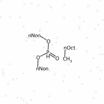 CCCCCCCCC.CCCCCCCCCO[PH](=O)OCCCCCCCCC